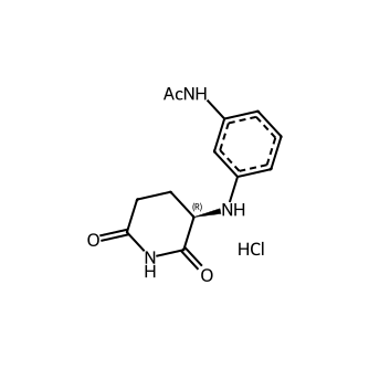 CC(=O)Nc1cccc(N[C@@H]2CCC(=O)NC2=O)c1.Cl